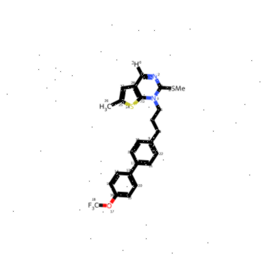 [2H]C1=NC(SC)N(CCCc2ccc(-c3ccc(OC(F)(F)F)cc3)cc2)c2sc(C)cc21